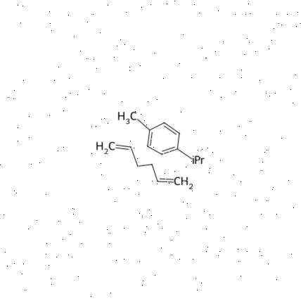 C=CCCC=C.Cc1ccc(C(C)C)cc1